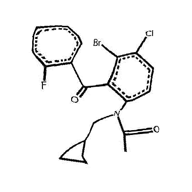 CC(=O)N(CC1CC1)c1ccc(Cl)c(Br)c1C(=O)c1ccccc1F